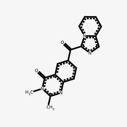 Cc1nc2ccc(C(=O)c3ncc4ccccn34)cc2c(=O)n1C